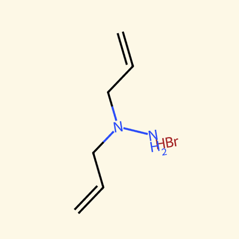 Br.C=CCN(N)CC=C